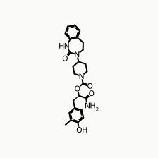 Cc1cc(C[C@@H](OC(=O)N2CCC(N3CCc4ccccc4NC3=O)CC2)C(N)=O)ccc1O